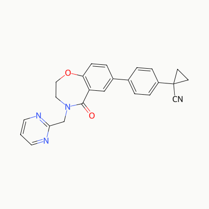 N#CC1(c2ccc(-c3ccc4c(c3)C(=O)N(Cc3ncccn3)CCO4)cc2)CC1